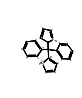 C1=CC(C(c2ccccc2)(c2ccccc2)c2ccc[nH]2)N=C1